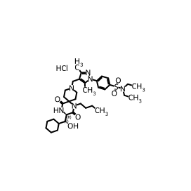 CCCCN1C(=O)[C@@H]([C@H](O)C2CCCCC2)NC(=O)C12CCN(Cc1c(C)nn(-c3ccc(S(=O)(=O)N(CC)CC)cc3)c1C)CC2.Cl